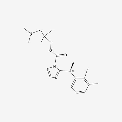 Cc1cccc([C@H](C)c2nccn2C(=O)OCC(C)(C)CN(C)C)c1C